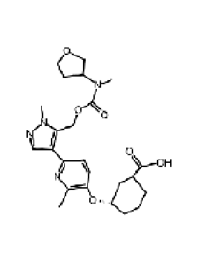 Cc1nc(-c2cnn(C)c2COC(=O)N(C)C2CCOC2)ccc1O[C@H]1CCC[C@H](C(=O)O)C1